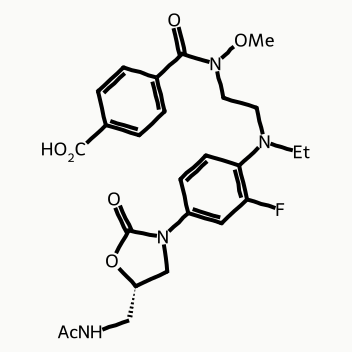 CCN(CCN(OC)C(=O)c1ccc(C(=O)O)cc1)c1ccc(N2C[C@H](CNC(C)=O)OC2=O)cc1F